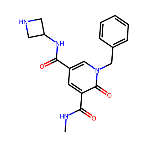 CNC(=O)c1cc(C(=O)NC2CNC2)cn(Cc2ccccc2)c1=O